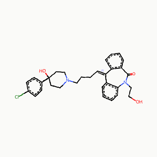 O=C1c2ccccc2/C(=C/CCCN2CCC(O)(c3ccc(Cl)cc3)CC2)c2ccccc2N1CCO